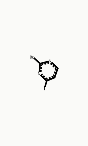 Brc1nccc(I)n1